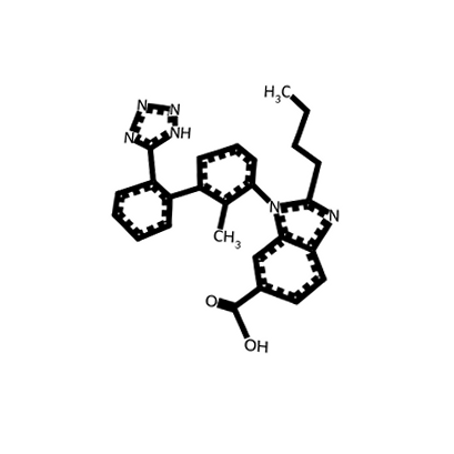 CCCCc1nc2ccc(C(=O)O)cc2n1-c1cccc(-c2ccccc2-c2nnn[nH]2)c1C